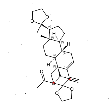 C#CC(OC(C)=O)[C@]12CCC3(CC1=CC[C@H]1[C@@H]4CC[C@H](C5(C)OCCO5)[C@@]4(C)CC[C@@H]12)OCCO3